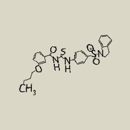 CCCCOc1cccc(C(=O)NC(=S)Nc2ccc(S(=O)(=O)N3CCc4ccccc43)cc2)c1